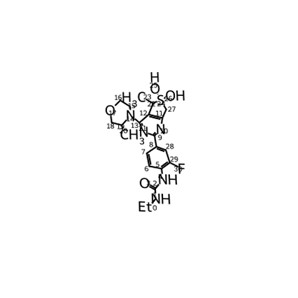 CCNC(=O)Nc1ccc(-c2nc3c(c(N4CCOC[C@@H]4C)n2)C(C)S(O)(O)C3)cc1F